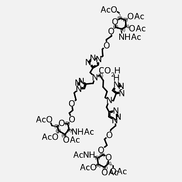 CC(=O)N[C@H]1[C@H](OCCOCCn2cc(CN(CCCC[C@@H](C(=O)O)N(Cc3cn(CCOCCO[C@@H]4O[C@H](COC(C)=O)[C@H](OC(C)=O)[C@H](OC(C)=O)[C@H]4NC(C)=O)nn3)Cc3cn(CCOCCO[C@@H]4O[C@H](COC(C)=O)[C@H](OC(C)=O)[C@H](OC(C)=O)[C@H]4NC(C)=O)nn3)Cc3c[nH]nn3)nn2)O[C@H](COC(C)=O)[C@H](OC(C)=O)[C@@H]1OC(C)=O